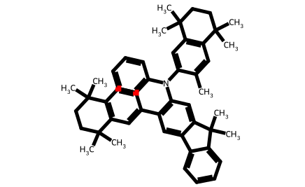 Cc1cc2c(cc1N(c1ccccc1)c1cc3c(cc1-c1ccc4c(c1)C(C)(C)CCC4(C)C)-c1ccccc1C3(C)C)C(C)(C)CCC2(C)C